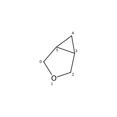 C1OCC2CC12